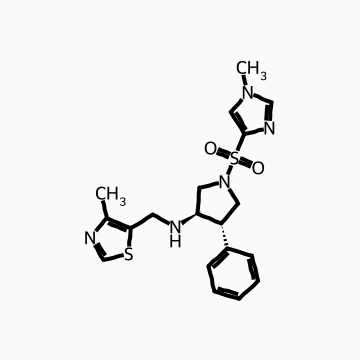 Cc1ncsc1CN[C@H]1CN(S(=O)(=O)c2cn(C)cn2)C[C@@H]1c1ccccc1